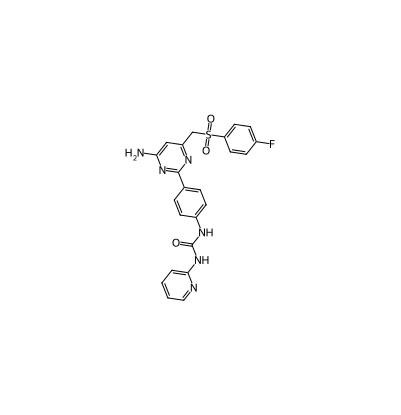 Nc1cc(CS(=O)(=O)c2ccc(F)cc2)nc(-c2ccc(NC(=O)Nc3ccccn3)cc2)n1